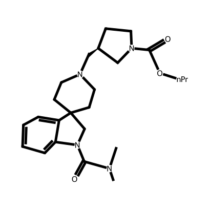 CCCOC(=O)N1CC[C@H](CN2CCC3(CC2)CN(C(=O)N(C)C)c2ccccc23)C1